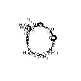 CN1CCOc2ccc(nc2)C(=O)NCc2cccc(c2)C(=O)N[C@@H](CC(C)(C)C)C(=O)Nc2ccc(cc2)CCN(C)C(=O)CCC(C)(C)CCC1=O